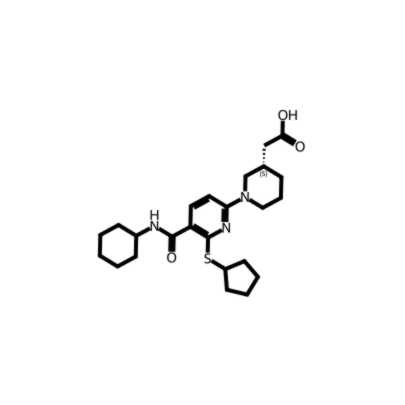 O=C(O)C[C@@H]1CCCN(c2ccc(C(=O)NC3CCCCC3)c(SC3CCCC3)n2)C1